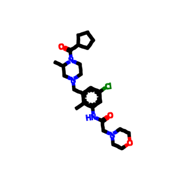 Cc1c(CN2CCN(C(=O)C3CCCC3)C(C)C2)cc(Cl)cc1NC(=O)CN1CCOCC1